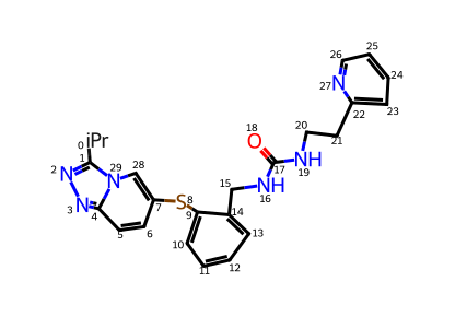 CC(C)c1nnc2ccc(Sc3ccccc3CNC(=O)NCCc3ccccn3)cn12